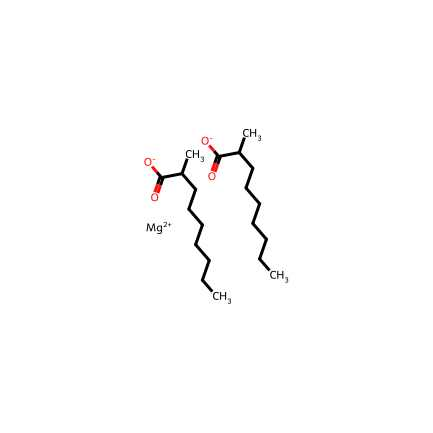 CCCCCCCC(C)C(=O)[O-].CCCCCCCC(C)C(=O)[O-].[Mg+2]